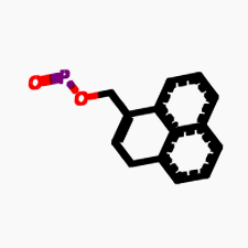 O=POCC1=CCc2cccc3cccc1c23